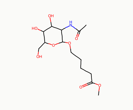 COC(=O)CCCCOC1OC(CO)C(O)C(O)C1NC(C)=O